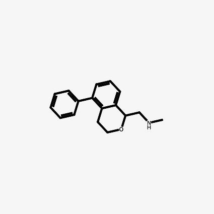 CNCC1OCCc2c(-c3ccccc3)cccc21